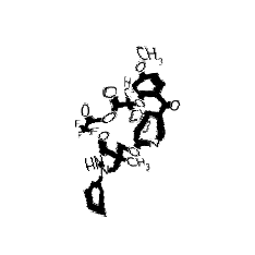 COc1ccc(C(=O)c2ccc(OCC3(C)CN(c4ccccc4)NC3=O)nc2)c(OC(C)(C)C(=O)OC(=O)C(F)(F)F)c1